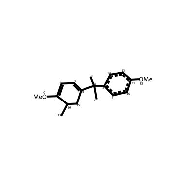 COC1=CC=C(C(C)(C)c2ccc(OC)cc2)CC1C